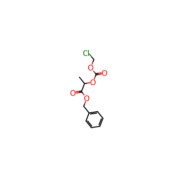 CC(OC(=O)OCCl)C(=O)OCc1ccccc1